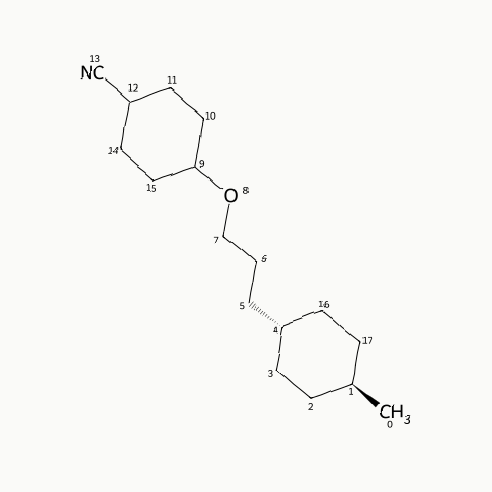 C[C@H]1CC[C@H](CCCOC2CCC(C#N)CC2)CC1